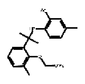 COCOc1c(C)cccc1C(C)(C)Pc1ccc(C)cc1C(C)=O